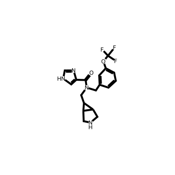 O=C(c1c[nH]cn1)N(Cc1cccc(OC(F)(F)F)c1)CC1C2CNCC21